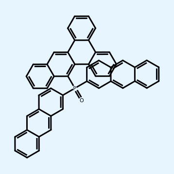 O=P(c1ccc2cc3ccccc3cc2c1)(c1ccc2cc3ccccc3cc2c1)c1c2ccccc2cc2c3ccccc3c3ccccc3c12